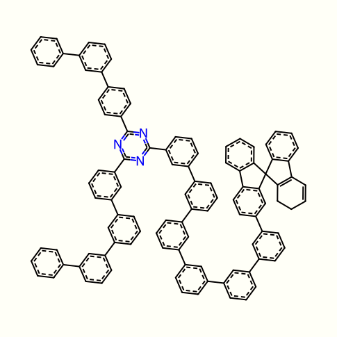 C1=CC2=C(CC1)C1(c3ccccc32)c2ccccc2-c2ccc(-c3cccc(-c4cccc(-c5cccc(-c6cccc(-c7cccc(-c8cccc(-c9nc(-c%10ccc(-c%11cccc(-c%12ccccc%12)c%11)cc%10)nc(-c%10cccc(-c%11cccc(-c%12cccc(-c%13ccccc%13)c%12)c%11)c%10)n9)c8)c7)c6)c5)c4)c3)cc21